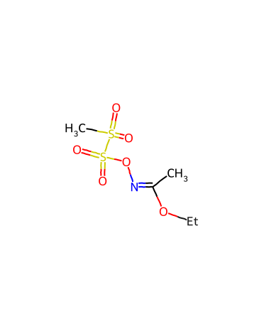 CCO/C(C)=N/OS(=O)(=O)S(C)(=O)=O